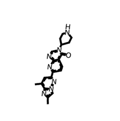 Cc1cn2nc(-c3ccc4c(=O)n(C5CCNCC5)cnc4n3)cc(C)c2n1